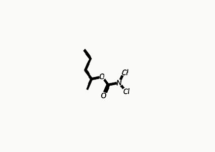 CCCC(C)OC(=O)N(Cl)Cl